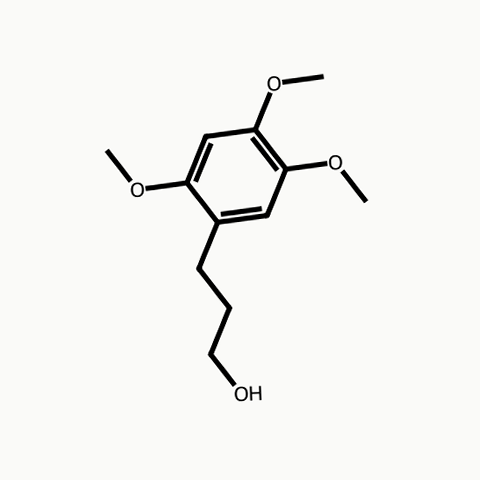 COc1cc(OC)c(OC)cc1CCCO